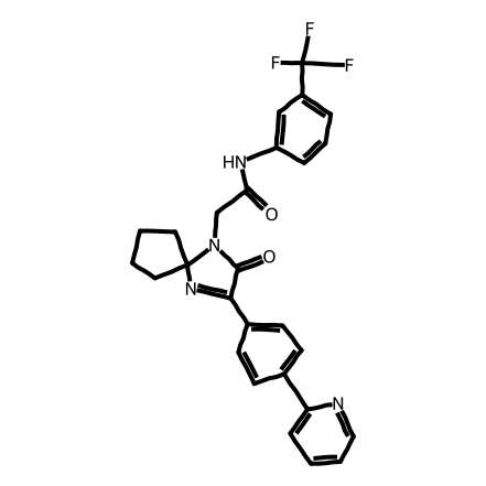 O=C(CN1C(=O)C(c2ccc(-c3ccccn3)cc2)=NC12CCCC2)Nc1cccc(C(F)(F)F)c1